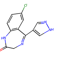 O=C1CN=C(c2cn[nH]c2)c2cc(Cl)ccc2N1